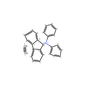 C#C.c1ccc(Nc2ccccc2)cc1.c1ccc2c(c1)Cc1ccccc1-2